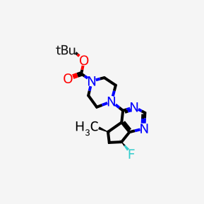 C[C@@H]1C[C@H](F)c2ncnc(N3CCN(C(=O)OC(C)(C)C)CC3)c21